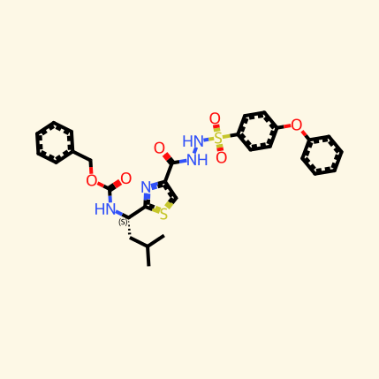 CC(C)C[C@H](NC(=O)OCc1ccccc1)c1nc(C(=O)NNS(=O)(=O)c2ccc(Oc3ccccc3)cc2)cs1